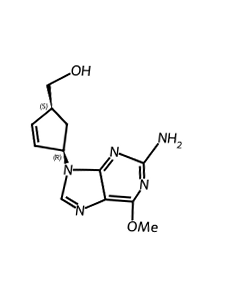 COc1nc(N)nc2c1ncn2[C@H]1C=C[C@@H](CO)C1